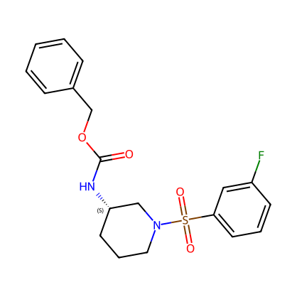 O=C(N[C@H]1CCCN(S(=O)(=O)c2cccc(F)c2)C1)OCc1ccccc1